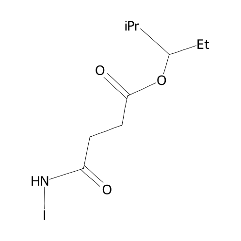 CCC(OC(=O)CCC(=O)NI)C(C)C